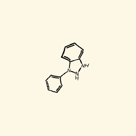 c1ccc(N2NNc3ccccc32)cc1